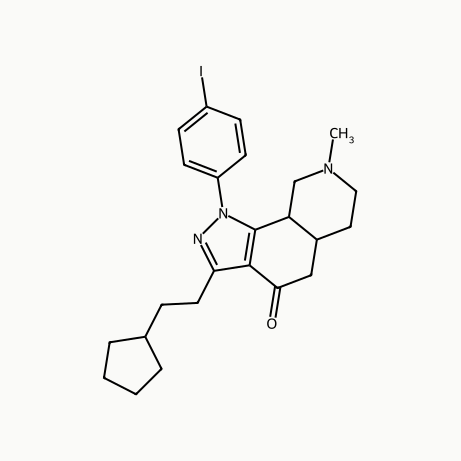 CN1CCC2CC(=O)c3c(CCC4CCCC4)nn(-c4ccc(I)cc4)c3C2C1